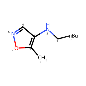 CCCCCNc1cnoc1C